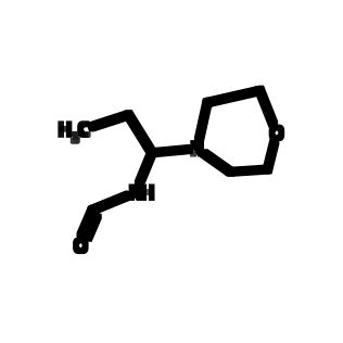 CCC(NC=O)N1CCOCC1